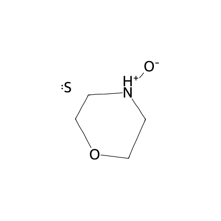 [O-][NH+]1CCOCC1.[S]